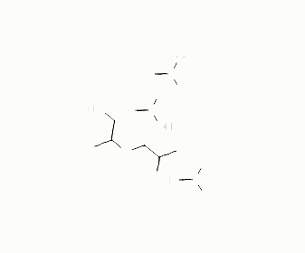 CC(O)COC(C)CO.OP(O)O.OP(O)O.OP(O)O